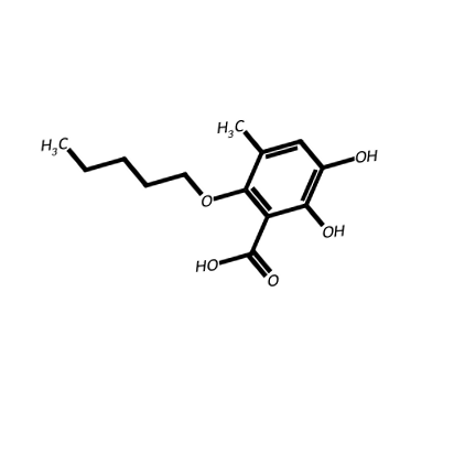 CCCCCOc1c(C)cc(O)c(O)c1C(=O)O